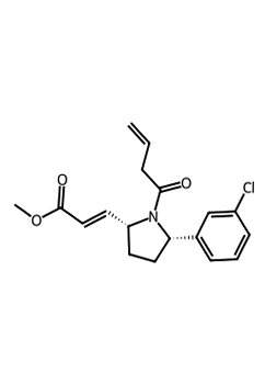 C=CCC(=O)N1[C@@H](/C=C/C(=O)OC)CC[C@H]1c1cccc(Cl)c1